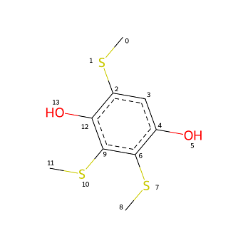 CSc1cc(O)c(SC)c(SC)c1O